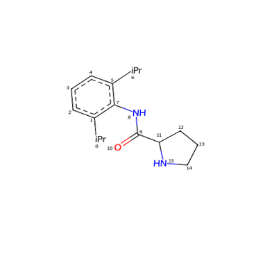 CC(C)c1cccc(C(C)C)c1NC(=O)C1CCCN1